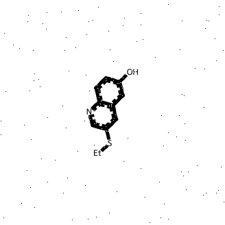 CCSc1cnc2ccc(O)cc2c1